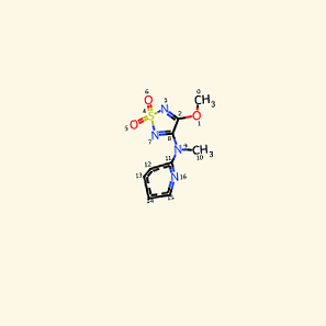 COC1=NS(=O)(=O)N=C1N(C)c1ccccn1